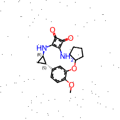 COc1ccc([C@@H]2C[C@H]2Nc2c(N)c(=O)c2=O)cc1OC1CCCC1